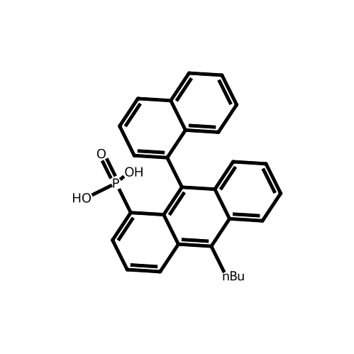 CCCCc1c2ccccc2c(-c2cccc3ccccc23)c2c(P(=O)(O)O)cccc12